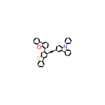 C(#Cc1cc2c(cc1-c1cccc3c1oc1ccccc13)sc1ccccc12)c1ccc2c(c1)c1ccccc1n2-c1ccccc1